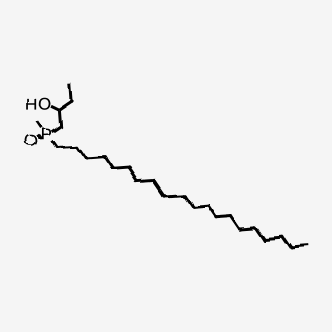 CCCCCCCCCCCCCCCCCCCCP(C)(=O)CC(O)CC